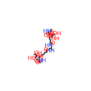 CC(=O)N[C@@H](CO)C(OCCCCC(=O)NCC(C)CNC(=O)CCCCOC(OC(CO)[C@@H](C)O)[C@H](CO)NC(C)=O)OC(CO)[C@@H](C)O